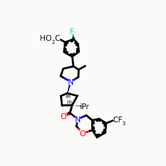 CC1CN([C@@H]2CC[C@@](C(=O)N3COc4ccc(C(F)(F)F)cc4C3)(C(C)C)C2)CCC1c1ccc(F)c(C(=O)O)c1